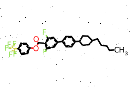 CCCCCC1CCC(c2ccc(-c3cc(F)c(C(=O)Oc4ccc(S(F)(F)(F)(F)F)cc4)c(F)c3)cc2)CC1